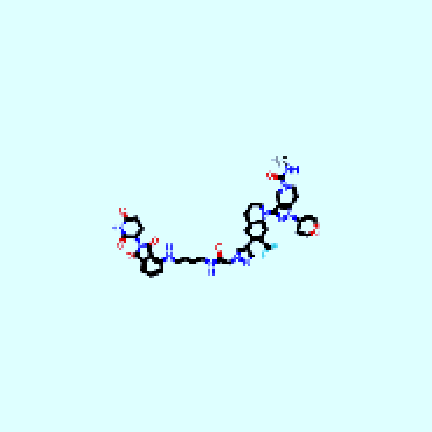 CNC(=O)N1CCc2c(c(N3CCCc4cc(-c5cnn(CC(=O)NCCCCNc6cccc7c6C(=O)N(C6CCC(=O)NC6=O)C7=O)c5)c(C(F)F)cc43)nn2C2CCOCC2)C1